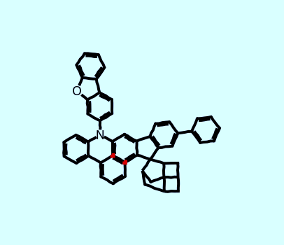 c1ccc(-c2ccc3c(c2)C2(c4ccc(N(c5ccc6c(c5)oc5ccccc56)c5ccccc5-c5ccccc5)cc4-3)C3CC4CC5CC2C45C3)cc1